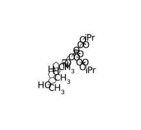 CC(C)OC(=O)OCOP(=O)(COCc1cc([C@H]2CC[C@H]3[C@@H]4CCC5C[C@](C)(O)CC[C@]5(C)C4CC[C@]23C)no1)OCOC(=O)OC(C)C